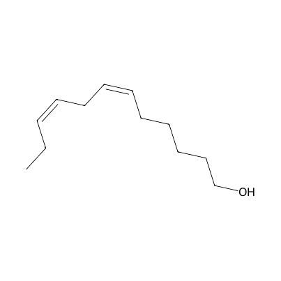 CC/C=C\C/C=C\CCCCCO